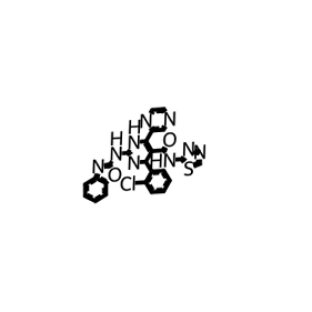 O=C(Nc1nncs1)C1=C(c2cnccn2)NC(Nc2nc3ccccc3o2)=NC1c1ccccc1Cl